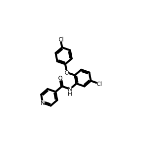 O=C(Nc1cc(Cl)ccc1Oc1ccc(Cl)cc1)c1ccncc1